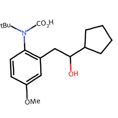 COc1ccc(N(C(=O)O)C(C)(C)C)c(CC(O)C2CCCC2)c1